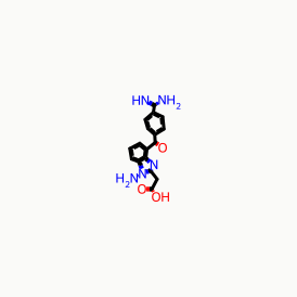 N=C(N)c1ccc(C(=O)c2cccc3c2nc(CC(=O)O)n3N)cc1